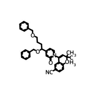 CC1(C)C=C(n2ccc(C(CCCOCc3ccccc3)OCc3ccccc3)cc2=O)c2cc(C#N)ccc2O1